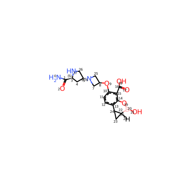 NC(=O)[C@@H]1C[C@@H](N2CC(Oc3ccc4c(c3C(=O)O)OB(O)[C@@H]3CC43)C2)CN1